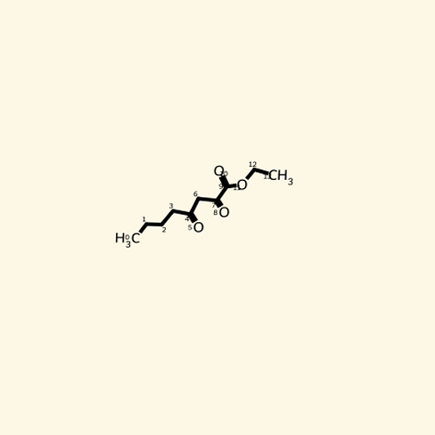 CCCCC(=O)CC(=O)C(=O)OCC